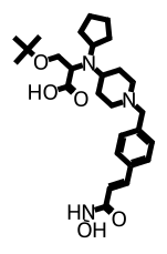 CC(C)(C)OCC(C(=O)O)N(C1CCCC1)C1CCN(Cc2ccc(C=CC(=O)NO)cc2)CC1